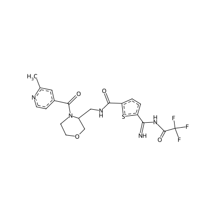 Cc1cc(C(=O)N2CCOCC2CNC(=O)c2ccc(C(=N)NC(=O)C(F)(F)F)s2)ccn1